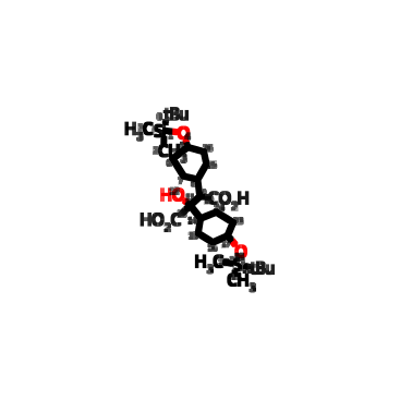 CC(C)(C)[Si](C)(C)OC1CCC(C(C(=O)O)C(O)(C(=O)O)C2CCC(O[Si](C)(C)C(C)(C)C)CC2)CC1